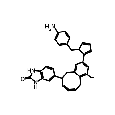 Nc1ccc(CC2C=CC=C2c2cc(F)c3c(c2)CC(c2ccc4[nH]c(=O)[nH]c4c2)C=C=CC3)cc1